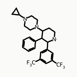 FC(F)(F)c1cc(C2[N]CCC(N3CCN(C4CC4)CC3)C2c2ccccc2)cc(C(F)(F)F)c1